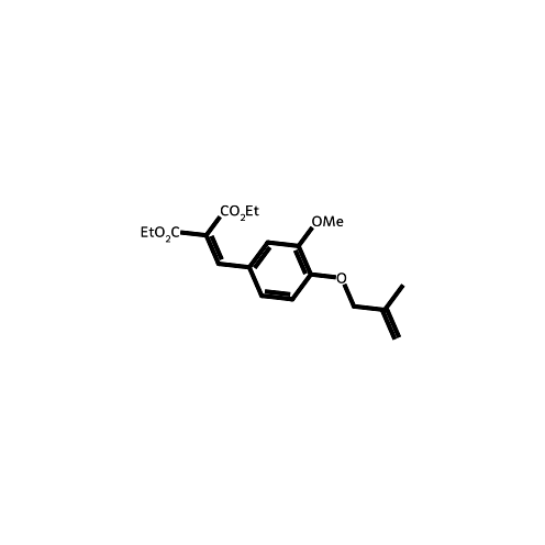 C=C(C)COc1ccc(C=C(C(=O)OCC)C(=O)OCC)cc1OC